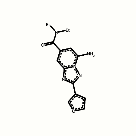 CCN(CC)C(=O)c1cc(N)n2nc(-c3ccoc3)nc2c1